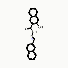 O=C(N/N=C/c1ccc2ccccc2c1)c1cc2ccccc2cc1O